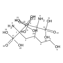 NC(CC(CCO)C(N)(P(=O)(O)O)P(=O)(O)O)(P(=O)(O)O)P(=O)(O)O